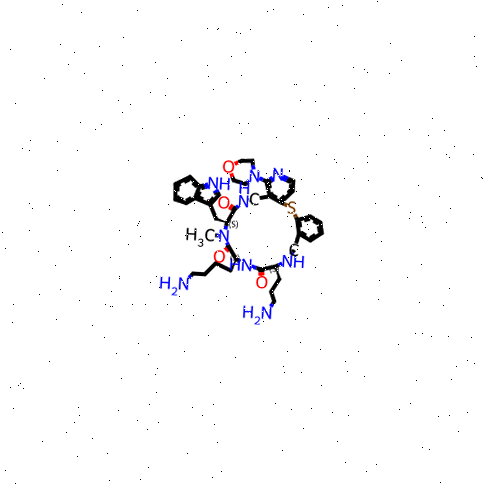 CN1C(=O)[C@H](CCCCN)NC(=O)[C@H](CCCN)NCc2ccccc2Sc2ccnc(N3CCOCC3)c2CNC(=O)[C@@H]1Cc1c[nH]c2ccccc12